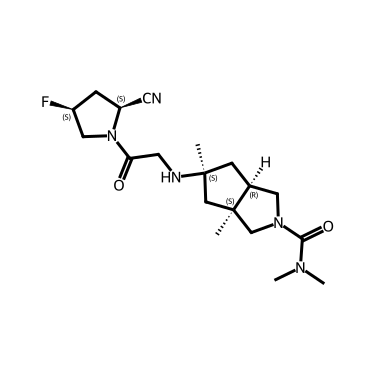 CN(C)C(=O)N1C[C@@H]2C[C@](C)(NCC(=O)N3C[C@@H](F)C[C@H]3C#N)C[C@]2(C)C1